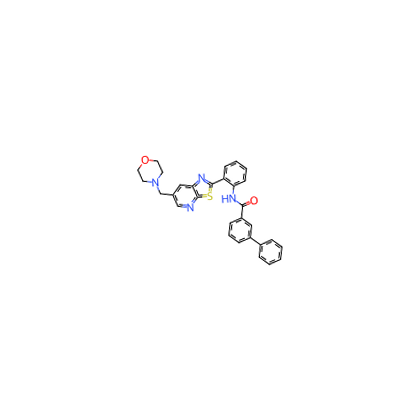 O=C(Nc1ccccc1-c1nc2cc(CN3CCOCC3)cnc2s1)c1cccc(-c2ccccc2)c1